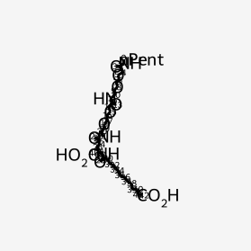 CCCCCNC(=O)COCCOCCNC(=O)COCCOCCNC(=O)CC[C@H](NC(=O)CCCCCCCCCCCCC(=O)O)C(=O)O